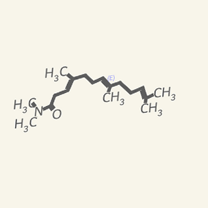 CC(C)=CCC/C(C)=C/CCC(C)=CCC(=O)N(C)C